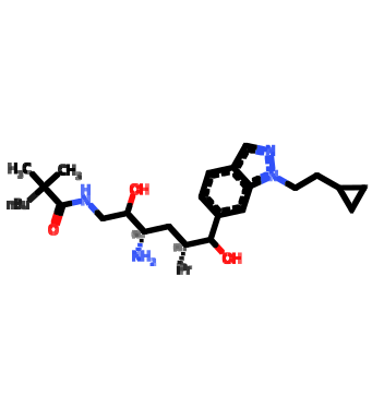 CCCCC(C)(C)C(=O)NCC(O)[C@@H](N)C[C@@H](C(C)C)C(O)c1ccc2cnn(CCC3CC3)c2c1